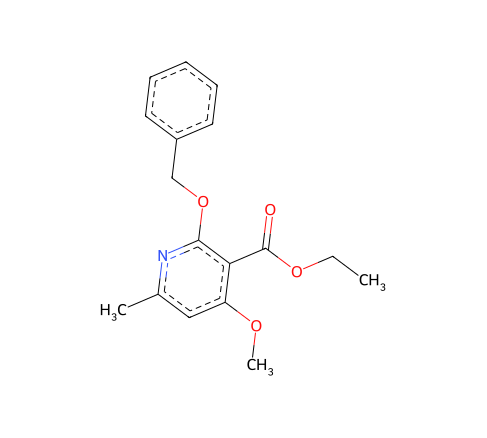 CCOC(=O)c1c(OC)cc(C)nc1OCc1ccccc1